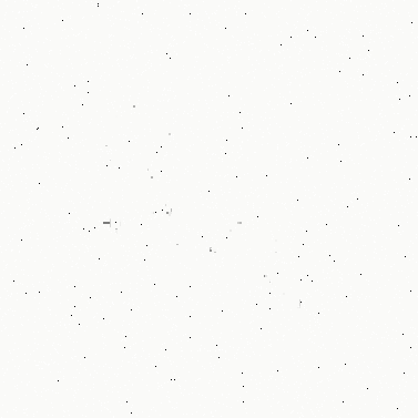 CN1CCN(C[Si](C)(C)c2ccccc2)C1